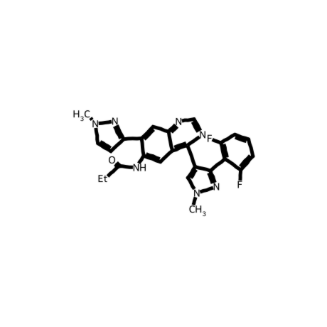 CCC(=O)Nc1cc2c(-c3cn(C)nc3-c3c(F)cccc3F)ncnc2cc1-c1ccn(C)n1